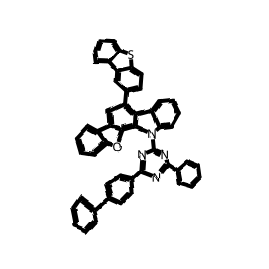 c1ccc(-c2ccc(-c3nc(-c4ccccc4)nc(-n4c5ccccc5c5c(-c6ccc7sc8ccccc8c7c6)cc6c7ccccc7oc6c54)n3)cc2)cc1